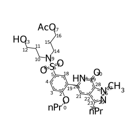 CCCOc1ccc(S(=O)(=O)N(CCCO)CCCOC(C)=O)cc1-c1cc2c(CCC)nn(C)c2c(=O)[nH]1